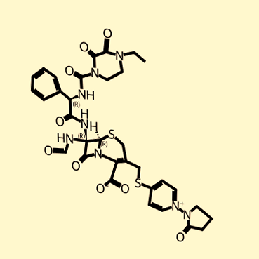 CCN1CCN(C(=O)N[C@@H](C(=O)N[C@]2(NC=O)C(=O)N3C(C(=O)[O-])=C(CSc4cc[n+](N5CCCC5=O)cc4)CS[C@@H]32)c2ccccc2)C(=O)C1=O